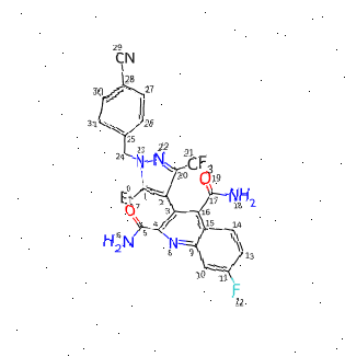 CCc1c(-c2c(C(N)=O)nc3cc(F)ccc3c2C(N)=O)c(C(F)(F)F)nn1Cc1ccc(C#N)cc1